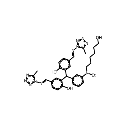 CCN(CCCCCCO)c1cccc(C(c2cc(C=Nn3nnnc3C)ccc2O)c2cc(C=Nn3nnnc3C)ccc2O)c1